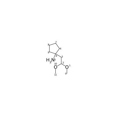 COC(CC1(N)CCCC1)OC